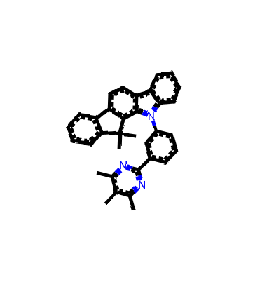 Cc1nc(-c2cccc(-n3c4ccccc4c4ccc5c(c43)C(C)(C)c3ccccc3-5)c2)nc(C)c1C